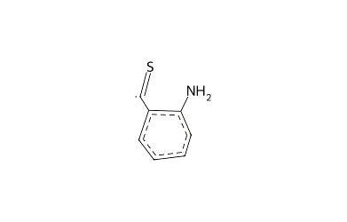 Nc1ccccc1[C]=S